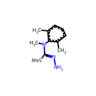 CSC(=NN)N(C)c1c(C)cccc1C